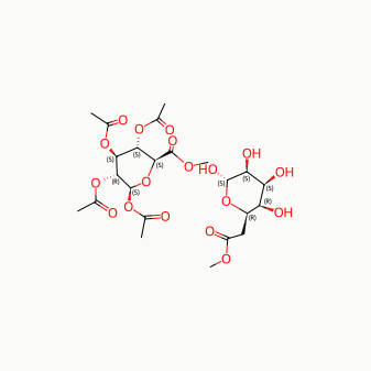 COC(=O)C[C@H]1O[C@H](O)[C@@H](O)[C@@H](O)[C@H]1O.COC(=O)[C@H]1O[C@@H](OC(C)=O)[C@H](OC(C)=O)[C@@H](OC(C)=O)[C@@H]1OC(C)=O